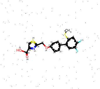 CSc1cc(F)c(F)cc1-c1ccc(OCc2nc(C(=O)O)cs2)cc1